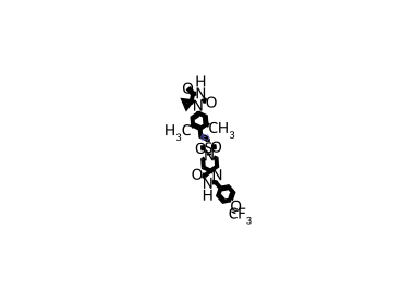 Cc1cc(N2C(=O)NC(=O)C23CC3)cc(C)c1/C=C/S(=O)(=O)N1CCC2(CC1)N=C(c1ccc(OC(F)(F)F)cc1)NC2=O